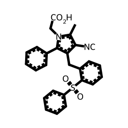 [C-]#[N+]c1c(Cc2ccccc2S(=O)(=O)c2ccccc2)c(-c2ccccc2)n(CC(=O)O)c1C